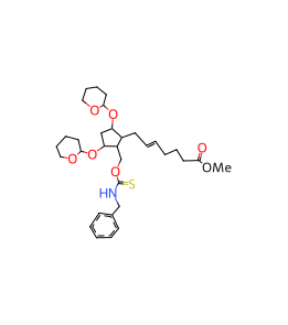 COC(=O)CCCC=CCC1C(OC2CCCCO2)CC(OC2CCCCO2)C1COC(=S)NCc1ccccc1